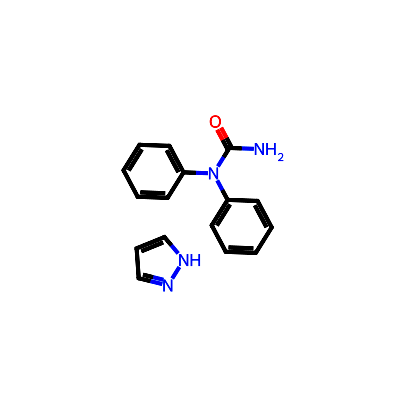 NC(=O)N(c1ccccc1)c1ccccc1.c1cn[nH]c1